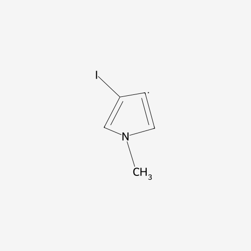 Cn1c[c]c(I)c1